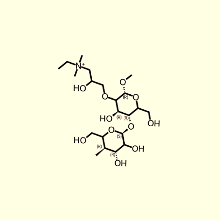 CC[N+](C)(C)CC(O)COC1[C@H](OC)OC(CO)[C@H](O[C@@H]2OC(CO)[C@H](C)[C@@H](O)C2O)[C@H]1O